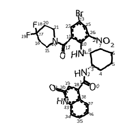 O=C(N[C@H]1CCCC[C@H]1Nc1c(C(=O)N2CCC(F)(F)CC2)cc(Br)cc1[N+](=O)[O-])c1cc(=O)[nH]c2ccccc12